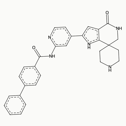 O=C(Nc1cc(-c2cc3c([nH]2)C2(CCNCC2)CNC3=O)ccn1)c1ccc(-c2ccccc2)cc1